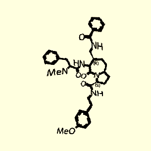 CNC(Cc1ccccc1)C(=O)NC1C(=O)N2C(CC[C@@H]1CNC(=O)c1ccccc1)CC[C@H]2C(=O)NCCc1ccc(OC)cc1